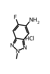 Cl.Cn1nc2cc(N)c(F)cc2n1